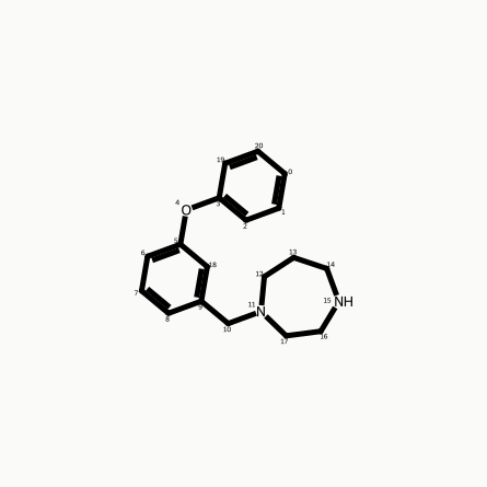 c1ccc(Oc2cccc(CN3CCCNCC3)c2)cc1